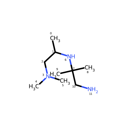 CC(CN(C)C)NC(C)(C)CN